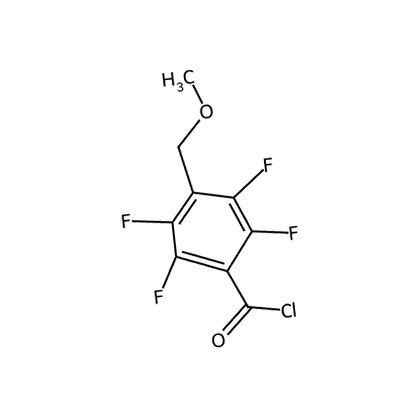 COCc1c(F)c(F)c(C(=O)Cl)c(F)c1F